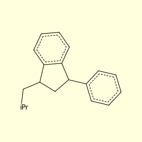 CC(C)CC1CC(c2ccccc2)c2ccccc21